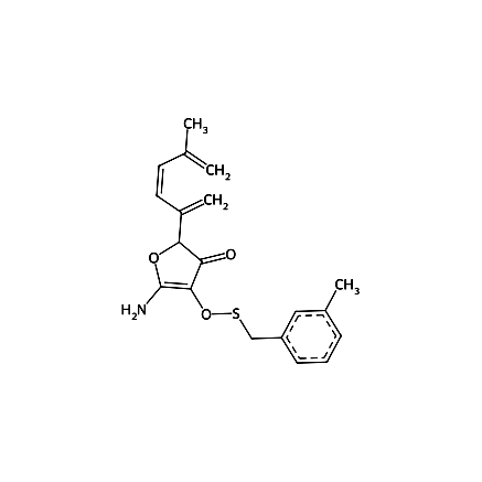 C=C(C)/C=C\C(=C)C1OC(N)=C(OSCc2cccc(C)c2)C1=O